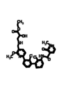 CCOC(=O)C(O)CNCc1ccc(-c2cccc(-c3cccc(NC(=O)c4ccnn(C)c4=O)c3Cl)c2Cl)nc1OC